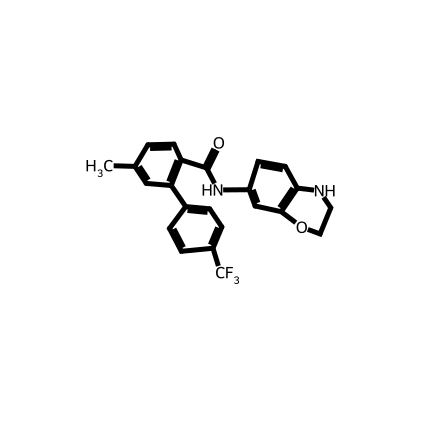 Cc1ccc(C(=O)Nc2ccc3c(c2)OCCN3)c(-c2ccc(C(F)(F)F)cc2)c1